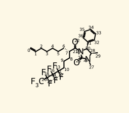 C=CCCCCC[C@@H](CCCC(F)(F)C(F)(F)C(F)(F)C(F)(F)F)C(=O)N1C(=O)N(C)[C@H](C)[C@@H]1c1ccccc1